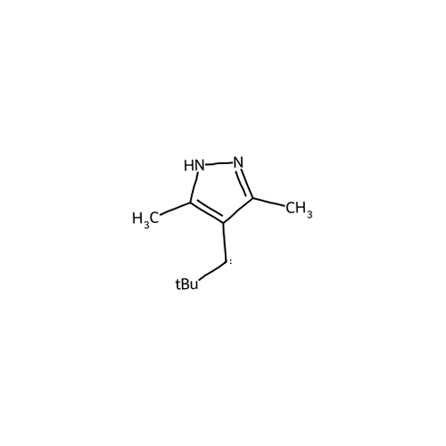 Cc1n[nH]c(C)c1[C]C(C)(C)C